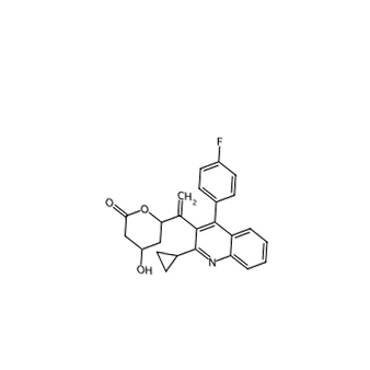 C=C(c1c(C2CC2)nc2ccccc2c1-c1ccc(F)cc1)C1CC(O)CC(=O)O1